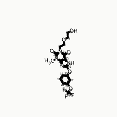 Cn1c(=O)n(CCOCCO)c(=O)c2[nH]c(Oc3cccc(OC(F)(F)F)c3)nc21